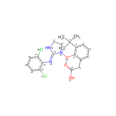 CC(C)(C)c1cccc(CC(=O)O)c1ON1CCNC1=Nc1c(Cl)cccc1Cl